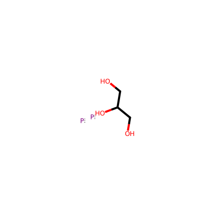 OCC(O)CO.[P].[P]